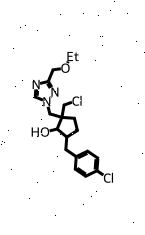 CCOCc1ncn(CC2(CCl)CCC(Cc3ccc(Cl)cc3)C2O)n1